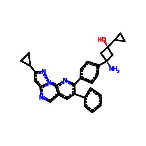 N[C@]1(c2ccc(-c3nc4c(cnc5cc(C6CC6)nn54)cc3-c3ccccc3)cc2)C[C@@](O)(C2CC2)C1